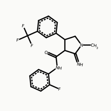 CN1CC(c2cccc(C(F)(F)F)c2)C(C(=O)Nc2ccccc2F)C1=N